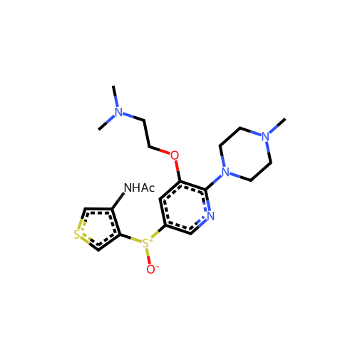 CC(=O)Nc1cscc1[S+]([O-])c1cnc(N2CCN(C)CC2)c(OCCN(C)C)c1